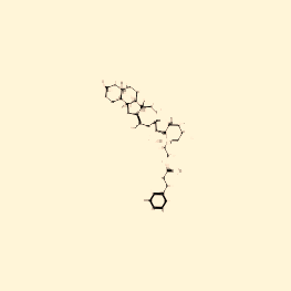 CC1=C2C[C@H]3C(CC[C@@H]4CC(=O)CC[C@@]43C)C2(C)CC[C@@]2(C1)O[C@@H]1C[C@H](C)CN(CCNC(=O)CCc3ccccc3)[C@H]1[C@H]2C